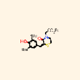 CCOC(=O)CN1CCS/C(=C/c2cc(C(C)(C)C)c(O)c(C(C)(C)C)c2)C1=O